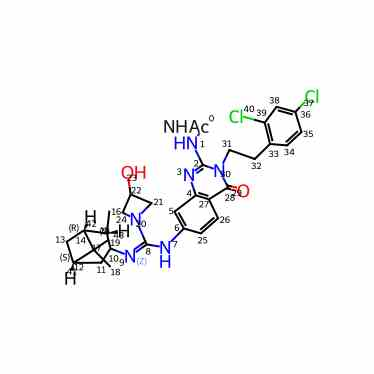 CC(=O)NNc1nc2cc(N/C(=N/C3C[C@@H]4C[C@H]([C@@H]3C)C4(C)C)N3CC(O)C3)ccc2c(=O)n1CCc1ccc(Cl)cc1Cl